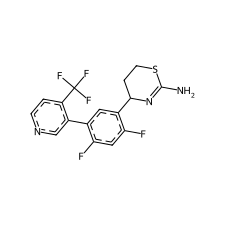 NC1=NC(c2cc(-c3cnccc3C(F)(F)F)c(F)cc2F)CCS1